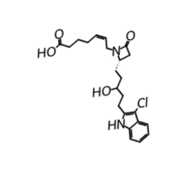 O=C(O)CCC/C=C\CN1C(=O)C[C@@H]1CCC(O)CCc1[nH]c2ccccc2c1Cl